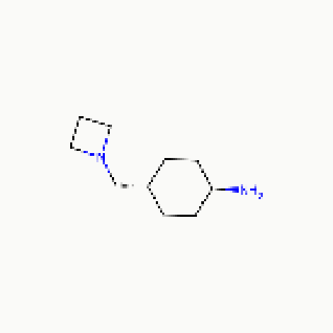 N[C@H]1CC[C@H](CN2CCC2)CC1